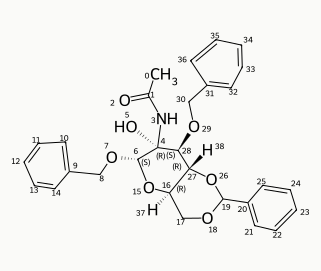 CC(=O)N[C@]1(O)[C@@H](OCc2ccccc2)O[C@@H]2COC(c3ccccc3)O[C@H]2[C@@H]1OCc1ccccc1